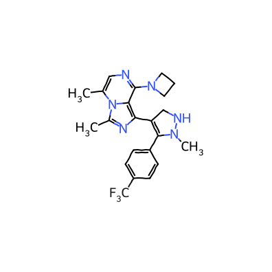 Cc1cnc(N2CCC2)c2c(C3=C(c4ccc(C(F)(F)F)cc4)N(C)NC3)nc(C)n12